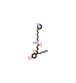 CCCCCc1c(C=CC(=O)NCCCCCCc2cccnc2)oc2cc(OC)ccc12